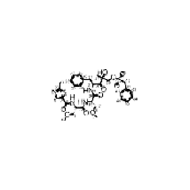 COC[C@H](NC(=O)c1cnc(C)s1)C(=O)N[C@@H](COC)C(=O)NC(Cc1ccccc1)C(=O)C(C)(O)COS(=O)(=O)Cc1ccccc1